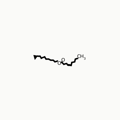 CCCCC/C=C\CCC(=O)OCCCCCCCCCC1CC1